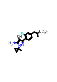 CC(Cc1ccc(-c2nn(C3(C)CC3)c(N)c2C#N)c(F)c1)C(=O)O